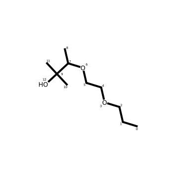 CCCOCCOC(C)C(C)(C)O